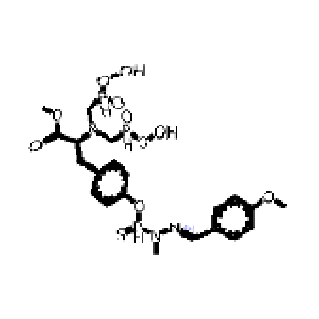 COC(=O)C(Cc1ccc(O[PH](=S)N(C)/N=C/c2ccc(OC)cc2)cc1)N(C[PH](=O)OO)C[PH](=O)OO